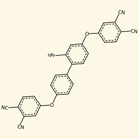 CCCc1cc(Oc2ccc(C#N)c(C#N)c2)ccc1-c1ccc(Oc2ccc(C#N)c(C#N)c2)cc1